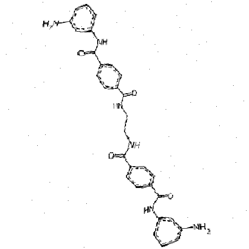 Nc1cccc(NC(=O)c2ccc(C(=O)NCCNC(=O)c3ccc(C(=O)Nc4cccc(N)c4)cc3)cc2)c1